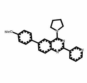 COc1ccc(-c2ccc3nc(-c4cccnc4)nc(N4CCCC4)c3c2)cc1